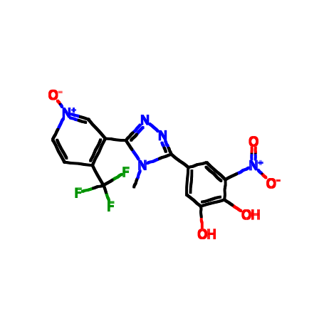 Cn1c(-c2cc(O)c(O)c([N+](=O)[O-])c2)nnc1-c1c[n+]([O-])ccc1C(F)(F)F